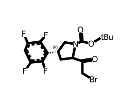 CC(C)(C)OC(=O)N1C[C@@H](c2c(F)c(F)cc(F)c2F)CC1C(=O)CBr